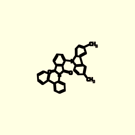 Cc1ccc2c(c1)c1cc(C)ccc1n2-c1cccc2c1C(=O)N(c1ccccc1-c1ccccc1)C2=O